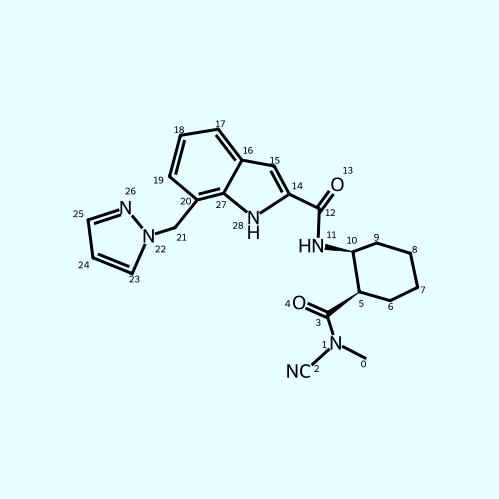 CN(C#N)C(=O)[C@@H]1CCCC[C@@H]1NC(=O)c1cc2cccc(Cn3cccn3)c2[nH]1